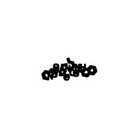 CCCC(NC(=O)c1ccc2ccccc2c1)C(=O)N1CCC2C1C(=O)CN2S(=O)(=O)Cc1ccccn1